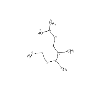 CCCC(C)C(C)CCC(N)O